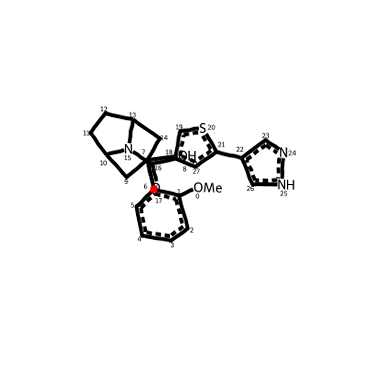 COc1ccccc1C1(O)CC2CCC(C1)N2C(=O)c1csc(-c2cn[nH]c2)c1